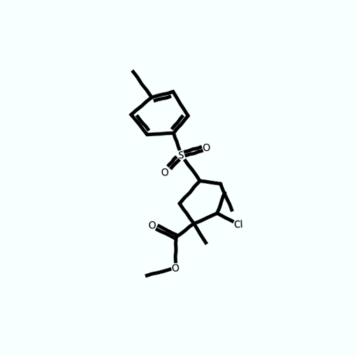 CCC(CC(C)(C(=O)OC)C(C)Cl)S(=O)(=O)c1ccc(C)cc1